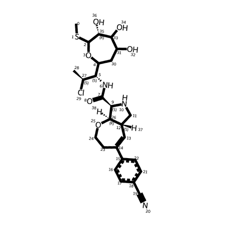 CSC1OC([C@H](NC(=O)[C@H]2NC[C@@H]3C=C(c4ccc(C#N)cc4)CCO[C@@H]23)[C@H](C)Cl)CC(O)C(O)[C@H]1O